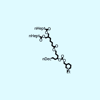 CCCCCCCCCCCCC(CCCOC(=O)CCCCC(COC(=O)CCCCCCC)COC(=O)CCCCCCC)OC(=O)OCC1CCCN(CC)C1